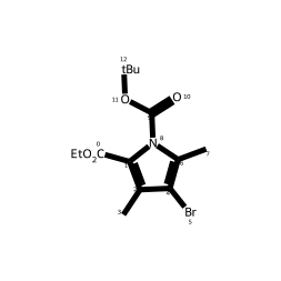 CCOC(=O)c1c(C)c(Br)c(C)n1C(=O)OC(C)(C)C